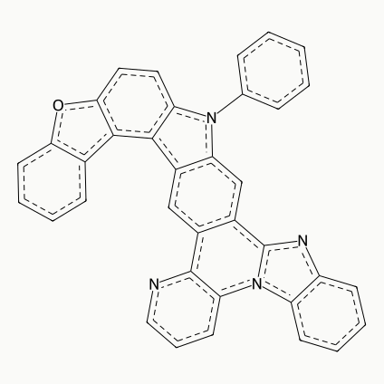 c1ccc(-n2c3cc4c(cc3c3c5c(ccc32)oc2ccccc25)c2ncccc2n2c3ccccc3nc42)cc1